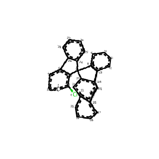 Clc1cccc2c1C1(c3ccccc3-c3cc4ccccc4cc31)c1ccccc1-2